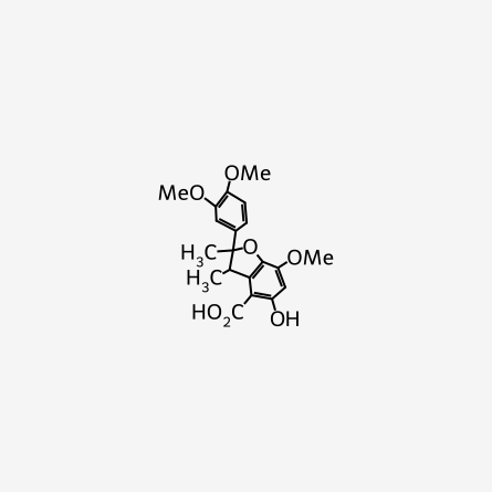 COc1ccc(C2(C)Oc3c(OC)cc(O)c(C(=O)O)c3C2C)cc1OC